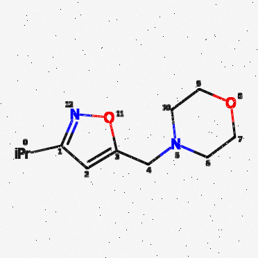 CC(C)c1cc(CN2CCOCC2)on1